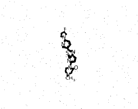 CN1CCN(c2ccc3nc(-c4ccc(N5CC[C@H](F)C5)nc4)sc3n2)C(=O)C1